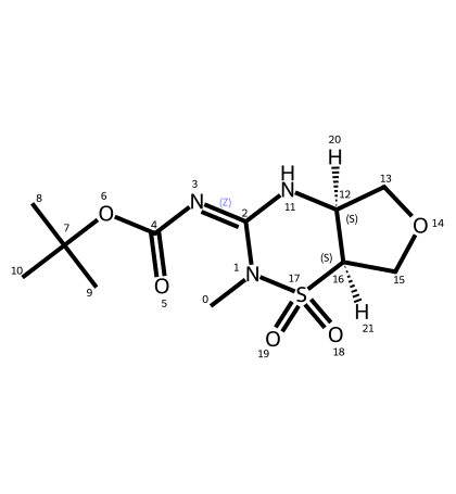 CN1/C(=N\C(=O)OC(C)(C)C)N[C@H]2COC[C@H]2S1(=O)=O